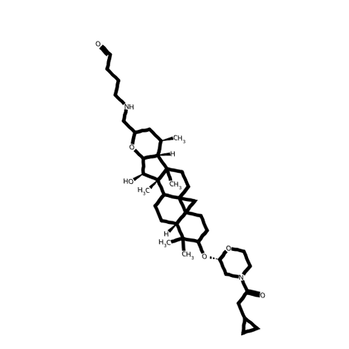 C[C@@H]1CC(CNCCCC=O)OC2[C@H]1C1(C)CCC34CC35CCC(O[C@H]3CN(C(=O)CC6CC6)CCO3)C(C)(C)[C@@H]5CCC4[C@]1(C)[C@H]2O